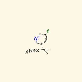 CCCCCCC(C)(C)c1cncc(F)c1